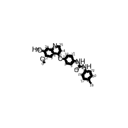 COc1cc2c(Oc3ccc(NC(=O)Nc4ccc(C)cc4)cc3)ccnc2cc1O